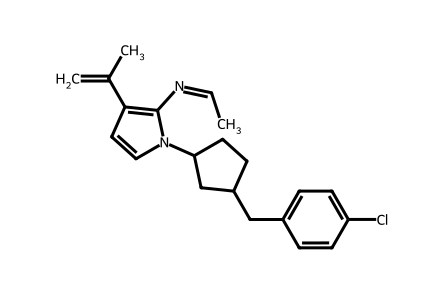 C=C(C)c1ccn(C2CCC(Cc3ccc(Cl)cc3)C2)c1/N=C\C